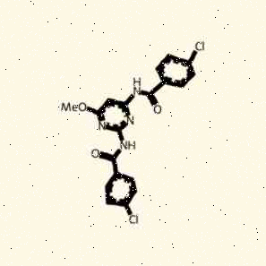 COc1cc(NC(=O)c2ccc(Cl)cc2)nc(NC(=O)c2ccc(Cl)cc2)n1